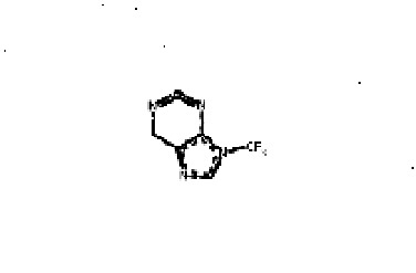 FC(F)(F)n1cnc2c1N=C=NC2